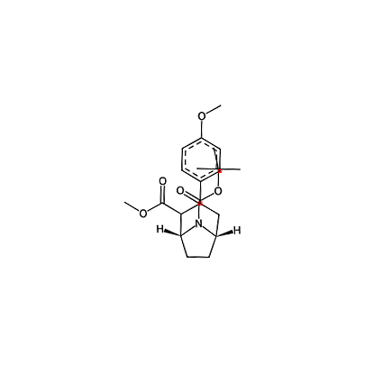 COC(=O)C1C(c2ccc(OC)cc2)C[C@@H]2CC[C@H]1N2C(=O)OC(C)(C)C